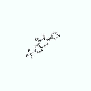 [O-][N+]1=c2cc(C(F)(F)F)ccc2=CN(n2ccnc2)N1